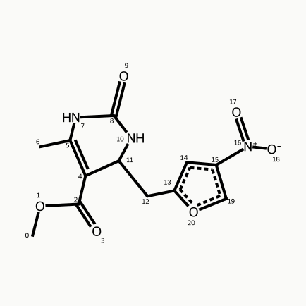 COC(=O)C1=C(C)NC(=O)NC1Cc1cc([N+](=O)[O-])co1